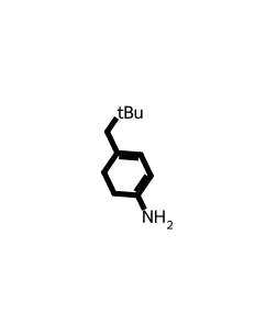 CC(C)(C)CC1=CC=C(N)CC1